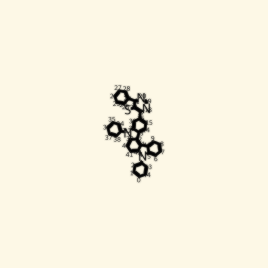 c1ccc(-n2c3ccccc3c3c4c5ccc(-c6ncnc7c6sc6ccccc67)cc5n(-c5ccccc5)c4ccc32)cc1